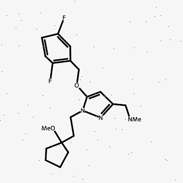 CNCc1cc(OCc2cc(F)ccc2F)n(CCC2(OC)CCCC2)n1